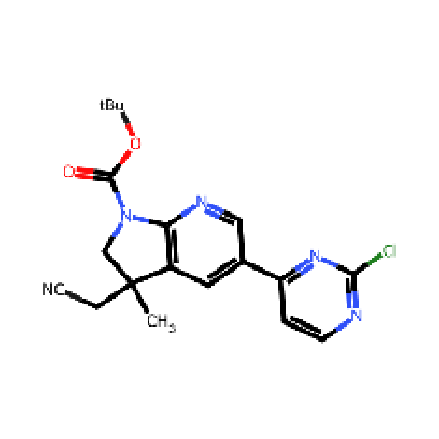 CC(C)(C)OC(=O)N1CC(C)(CC#N)c2cc(-c3ccnc(Cl)n3)cnc21